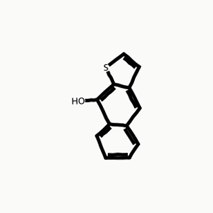 Oc1c2ccccc2cc2ccsc12